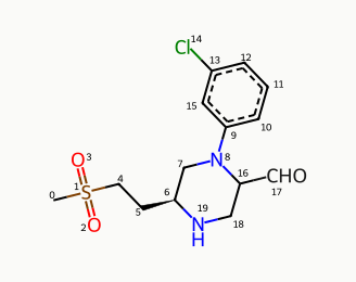 CS(=O)(=O)CC[C@H]1CN(c2cccc(Cl)c2)C(C=O)CN1